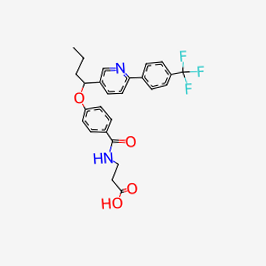 CCCC(Oc1ccc(C(=O)NCCC(=O)O)cc1)c1ccc(-c2ccc(C(F)(F)F)cc2)nc1